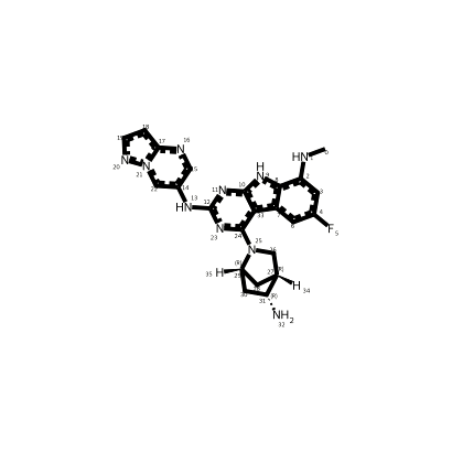 CNc1cc(F)cc2c1[nH]c1nc(Nc3cnc4ccnn4c3)nc(N3C[C@H]4C[C@@H]3C[C@H]4N)c12